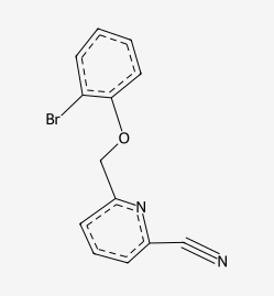 N#Cc1cccc(COc2ccccc2Br)n1